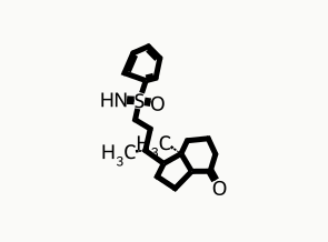 C[C@H](CCS(=N)(=O)c1ccccc1)C1CCC2C(=O)CCC[C@@]21C